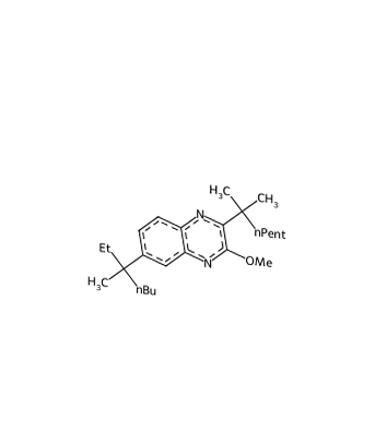 CCCCCC(C)(C)c1nc2ccc(C(C)(CC)CCCC)cc2nc1OC